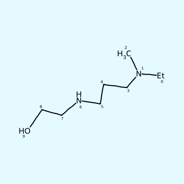 CCN(C)CCCNCCO